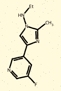 CCNn1cc(-c2cncc(F)c2)nc1C